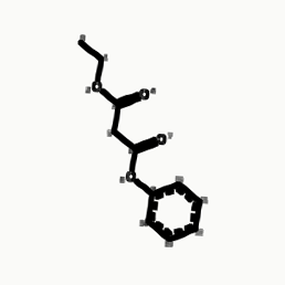 CCOC(=O)CC(=O)Oc1ccccc1